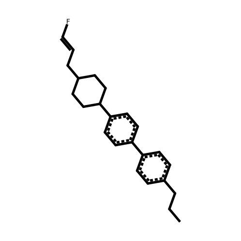 CCCc1ccc(-c2ccc(C3CCC(CC=CF)CC3)cc2)cc1